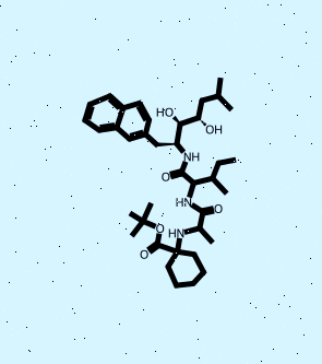 CCC(C)C(NC(=O)C(C)NC1(C(=O)OC(C)(C)C)CCCCC1)C(=O)N[C@@H](Cc1ccc2ccccc2c1)[C@@H](O)[C@@H](O)CC(C)C